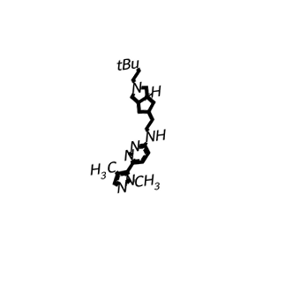 Cc1cnn(C)c1-c1ccc(NCCC2CC3CN(CCC(C)(C)C)C[C@H]3C2)nn1